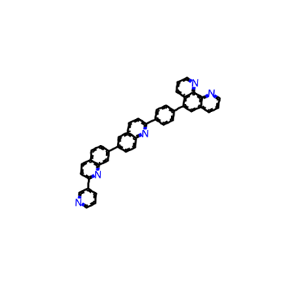 c1cncc(-c2ccc3ccc(-c4ccc5nc(-c6ccc(-c7cc8cccnc8c8ncccc78)cc6)ccc5c4)cc3n2)c1